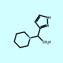 O=C(O)C(c1cc[nH]n1)N1CCCCC1